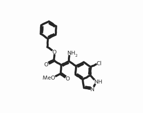 COC(=O)C(C(=O)OCc1ccccc1)=C(N)c1cc(Cl)c2[nH]ncc2c1